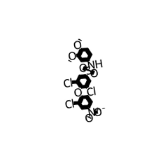 COc1ccc(NS(=O)(=O)c2cc(Cl)c(Oc3ccc([N+](=O)[O-])cc3Cl)c(Cl)c2)cc1OC